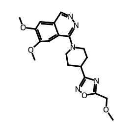 COCc1nc(C2CCN(c3nncc4cc(OC)c(OC)cc34)CC2)no1